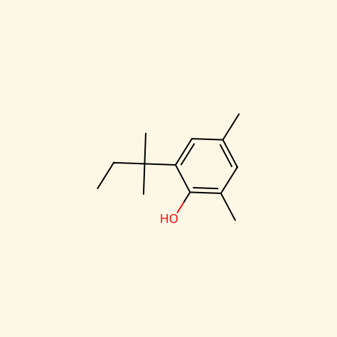 CCC(C)(C)c1cc(C)cc(C)c1O